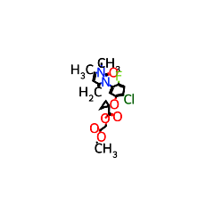 C=C1C=C(C)N(C)C(=O)N1c1cc(OC2(C(=O)OCC(=O)OCC)CC2)c(Cl)cc1F